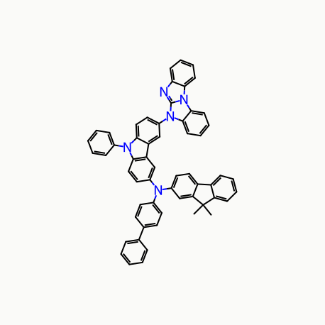 CC1(C)c2ccccc2-c2ccc(N(c3ccc(-c4ccccc4)cc3)c3ccc4c(c3)c3cc(-n5c6ccccc6n6c7ccccc7nc56)ccc3n4-c3ccccc3)cc21